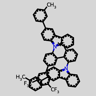 Cc1cccc(-c2ccc3c(c2)c2ccccc2n3-c2ccc(-c3cc(C(F)(F)F)cc(C(F)(F)F)c3)cc2-c2c(C#N)cccc2-n2c3ccccc3c3cc(-c4cccc(C)c4)ccc32)c1